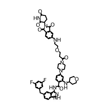 O=C1CCC(N2C(=O)c3ccc(NCCOCCC(=O)N4CCN(c5ccc(C(=O)Nc6n[nH]c7ccc(Cc8cc(F)cc(F)c8)cc67)c(NC6CCOCC6)c5)CC4)cc3C2=O)C(=O)N1